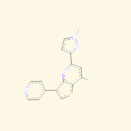 Cn1ccc(-c2cc(Cl)c3scc(-c4ccncc4)c3n2)n1